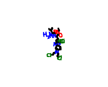 CCOC(=O)C(CCc1nc2cc(N(CCCl)CCCl)ccc2n1C)NC(=O)C(N)C(C)C.Cl.Cl